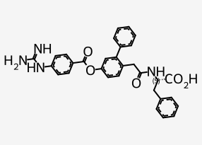 N=C(N)Nc1ccc(C(=O)Oc2ccc(CC(=O)N[C@@H](Cc3ccccc3)C(=O)O)c(-c3ccccc3)c2)cc1